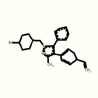 C=CC1C=CC(c2c(C)nn(CC3CCC(CC)CC3)c2-c2ccccc2)=CC1